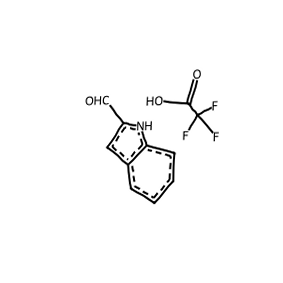 O=C(O)C(F)(F)F.O=Cc1cc2ccccc2[nH]1